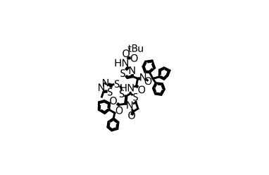 Cc1nnc(SCSC2=C(C(=O)OC(c3ccccc3)c3ccccc3)N3C(=O)CC3SC2NC(=O)/C(=N\OC(c2ccccc2)(c2ccccc2)c2ccccc2)c2csc(NC(=O)OC(C)(C)C)n2)s1